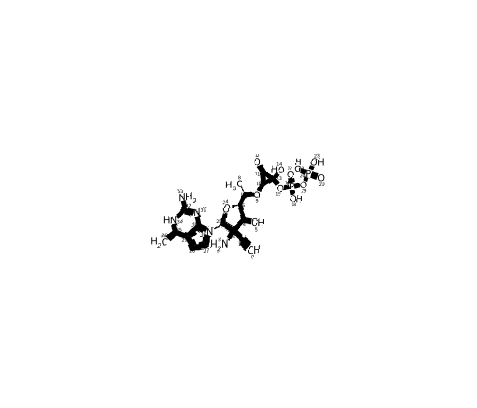 C#CC1(N)C(O)[C@@H]([C@H](C)OC2C(=O)C2(O)OP(=O)(O)OP(=O)(O)O)O[C@H]1n1ccc2c1N=C(N)NC2=C